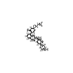 CN(C)CCOc1ccc(-c2cccc3cnc(Nc4ccc(N5CCNCC5)nc4)nc23)c(F)c1